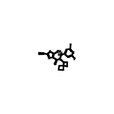 Cc1sc(C#N)nc1C(=O)N(Nc1cc(F)nc(F)c1)[C@H]1CCC12CCC2